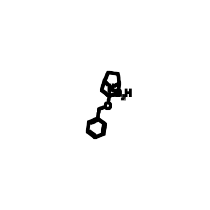 O=C(O)N1C2CCC1CC(OCc1ccccc1)C2